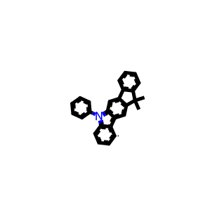 CC1(C)c2ccccc2-c2cc3c(cc21)c1[c]cccc1n3-c1ccccc1